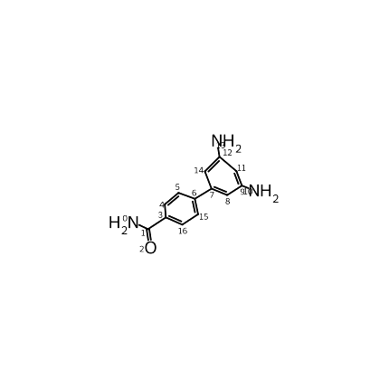 NC(=O)c1ccc(-c2cc(N)cc(N)c2)cc1